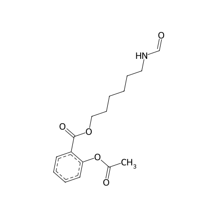 CC(=O)Oc1ccccc1C(=O)OCCCCCCNC=O